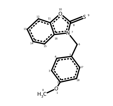 COc1ccc(Cn2c(=S)oc3ccccc32)cc1